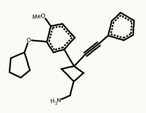 COc1ccc(C2(C#Cc3ccccc3)CC(CN)C2)cc1OC1CCCC1